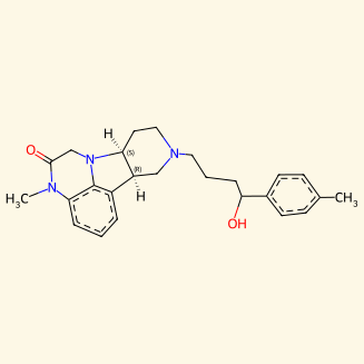 Cc1ccc(C(O)CCCN2CC[C@H]3[C@@H](C2)c2cccc4c2N3CC(=O)N4C)cc1